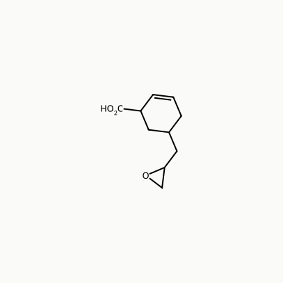 O=C(O)C1C=CCC(CC2CO2)C1